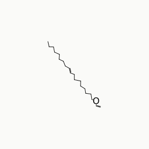 C=COCCCCCCCCC=CCCCCCCCC